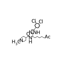 CC(=O)CCCCCC(NC(=O)C1CCN(C)CC1)c1ncc(-c2ccc(Cl)c(Cl)c2)[nH]1